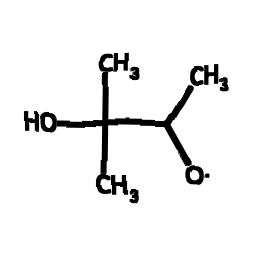 CC([O])C(C)(C)O